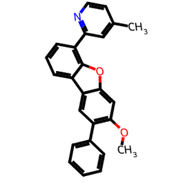 COc1cc2oc3c(-c4cc(C)ccn4)cccc3c2cc1-c1ccccc1